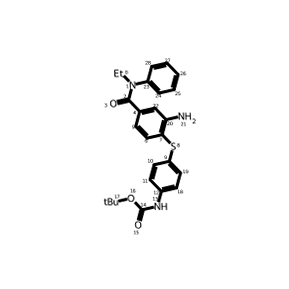 CCN(C(=O)c1ccc(Sc2ccc(NC(=O)OC(C)(C)C)cc2)c(N)c1)c1ccccc1